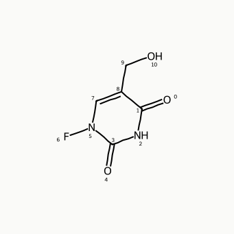 O=c1[nH]c(=O)n(F)cc1CO